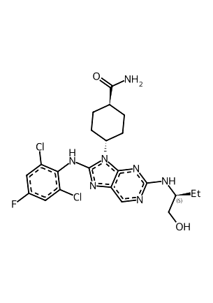 CC[C@@H](CO)Nc1ncc2nc(Nc3c(Cl)cc(F)cc3Cl)n([C@H]3CC[C@H](C(N)=O)CC3)c2n1